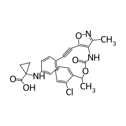 Cc1noc(C#Cc2ccc(NC3(C(=O)O)CC3)cc2)c1NC(=O)OC(C)c1ccccc1Cl